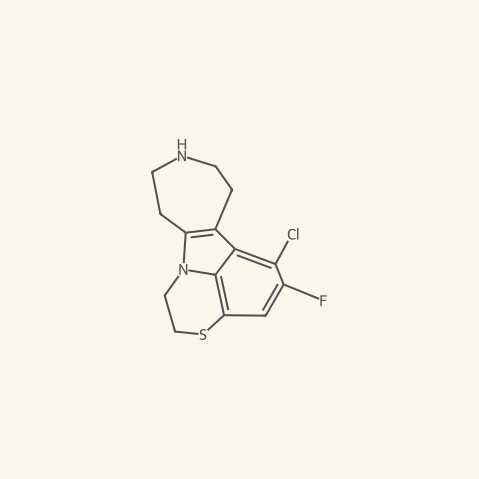 Fc1cc2c3c(c1Cl)c1c(n3CCS2)CCNCC1